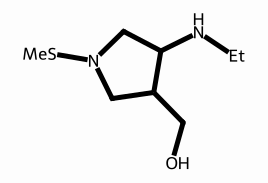 CCNC1CN(SC)CC1CO